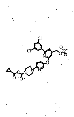 CS(=O)(=O)OCc1cc(Oc2ccc(N3CCN(C(=O)OC(=O)C4CC4)CC3)nc2)nc(-c2cc(Cl)cc(Cl)c2)c1